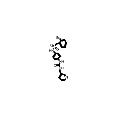 O=C(NCc1cccnc1)Nc1ccc(NS(=O)(=O)Cc2ccccc2Br)cc1